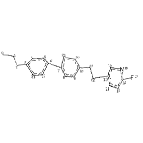 CCCc1ccc(-c2ccc(CCc3ccc(F)nc3)cc2)cc1